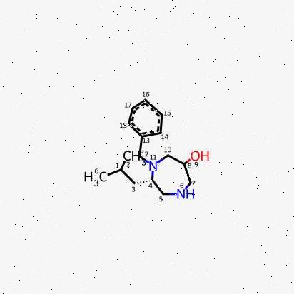 CC(C)C[C@H]1CNCC(O)CN1Cc1ccccc1